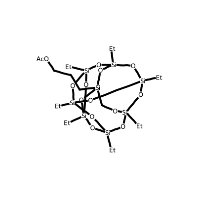 CC[Si]12OC[Si]3(CCCOC(C)=O)O[Si]4(CC)O[Si](CC)(O1)O[Si]1(CC)O[Si](CC)(O2)O[Si](CC)(O3)O[Si](CC)(O4)O1